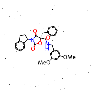 COc1cc(CNC(=O)[C@@]2(Cc3ccccc3)OC(=O)N([C@@H]3CCc4ccccc43)C2=O)cc(OC)c1